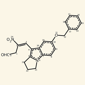 O=CCC(=Cc1c2n(c3ccc(OCc4ccccc4)cc13)CCC2)[N+](=O)[O-]